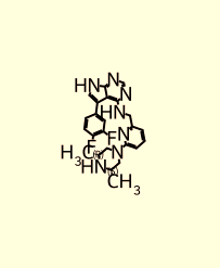 C[C@@H]1CN(c2cccc(CNc3ncnc4[nH]cc(-c5ccc(F)c(F)c5)c34)n2)C[C@H](C)N1